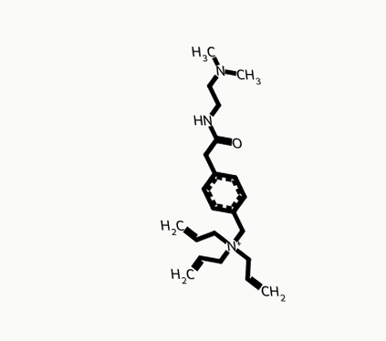 C=CC[N+](CC=C)(CC=C)Cc1ccc(CC(=O)NCCN(C)C)cc1